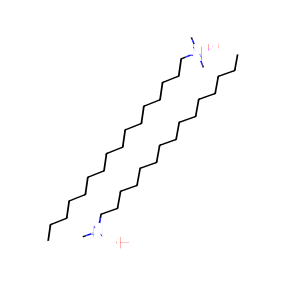 CCCCCCCCCCCCCCCC[N+](C)(C)[O-].CCCCCCCCCCCCCCCN(C)O